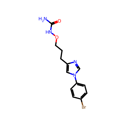 NC(=O)NOCCCc1cn(-c2ccc(Br)cc2)cn1